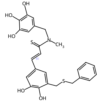 CN(Cc1cc(O)c(O)c(O)c1)C(=S)/C=C/c1cc(O)c(O)c(CSCc2ccccc2)c1